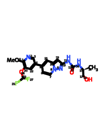 COc1ncc(-c2ccn3nc(NC(=O)N[C@H](C)CO)cc3c2)cc1OC(F)F